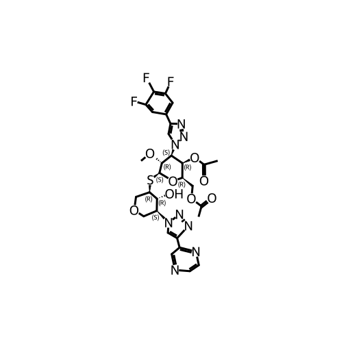 CO[C@@H]1[C@@H](n2cc(-c3cc(F)c(F)c(F)c3)nn2)[C@@H](OC(C)=O)[C@@H](COC(C)=O)O[C@H]1S[C@@H]1COC[C@H](n2cc(-c3cnccn3)nn2)[C@H]1O